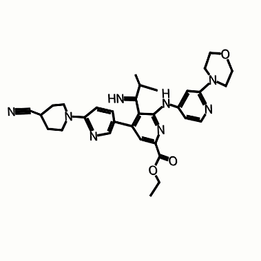 CCOC(=O)c1cc(-c2ccc(N3CCC(C#N)CC3)nc2)c(C(=N)C(C)C)c(Nc2ccnc(N3CCOCC3)c2)n1